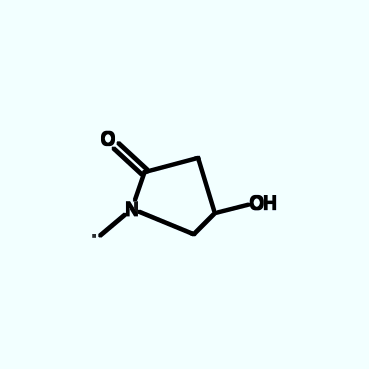 [CH2]N1CC(O)CC1=O